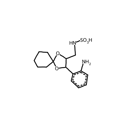 Nc1ccccc1C1OC2(CCCCC2)OC1CNS(=O)(=O)O